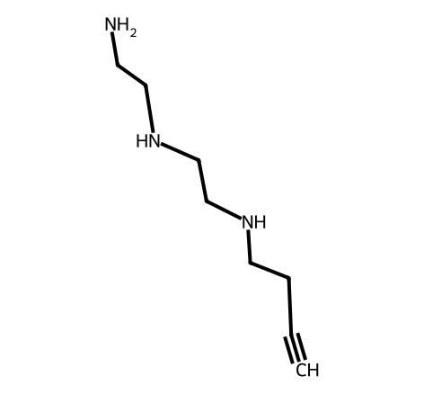 C#CCCNCCNCCN